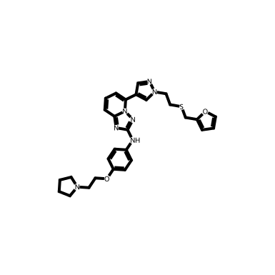 c1coc(CSCCn2cc(-c3cccc4nc(Nc5ccc(OCCN6CCCC6)cc5)nn34)cn2)c1